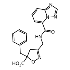 O=C(NCC1=NOC(Cc2ccccc2)(C(=O)O)C1)c1cccc2ncnn12